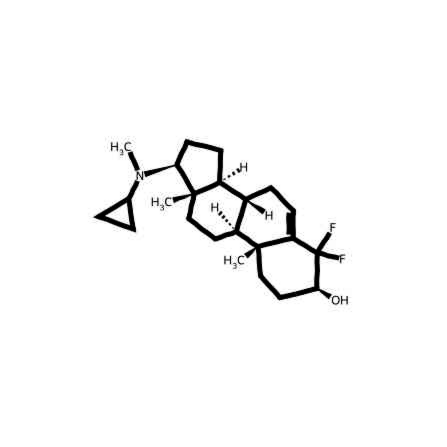 CN(C1CC1)[C@H]1CC[C@H]2[C@@H]3CC=C4C(F)(F)[C@@H](O)CC[C@]4(C)[C@H]3CC[C@]12C